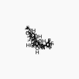 CCN(C)[C@@H](O)[C@@H](S[C@@H]1O[C@H](CO)[C@H](O)[C@H](n2cc(-c3cc(F)c(F)c(F)c3)nn2)[C@H]1O)C1(O)CCN(C(=O)NC2CC2)CC1